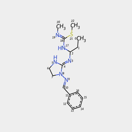 CCC(N=C1NCCN1N=Cc1ccccc1)NC(=NC)SC